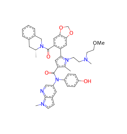 COCCN(C)CCn1c(-c2cc3c(cc2C(=O)N2Cc4ccccc4C[C@H]2C)OCO3)cc(C(=O)N(c2ccc(O)cc2)c2cnc3c(ccn3C)c2)c1C